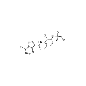 CC(C)CS(=O)(=O)Nc1ccc(F)c(NC(=O)c2csc3c(Cl)ncnc23)c1Cl